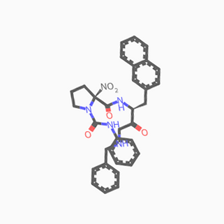 O=C(CNCc1ccccc1)[C@H](Cc1ccc2ccccc2c1)NC(=O)[C@@]1([N+](=O)[O-])CCCN1C(=O)Nc1ccccc1